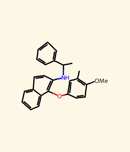 COc1ccc(Oc2c(NC(C)c3ccccc3)ccc3ccccc23)cc1C